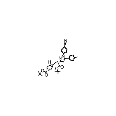 Cc1ccc(-c2cc(N(CC3C4CN(C(=O)OC(C)(C)C)C[C@H]43)C(=O)OC(C)(C)C)nn2-c2ccc(C#N)cc2)cc1